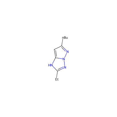 CCCCc1cc2[nH]c(CC)nn2n1